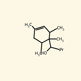 CC1=CC(C)C(C)(C(O)C(C)C)C(C)C1